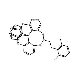 Cc1cccc(C)c1CCP1Oc2cccc3c2C2(c4ccccc4O3)c3ccccc3Oc3cccc(c32)O1